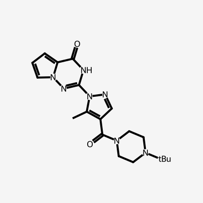 Cc1c(C(=O)N2CCN(C(C)(C)C)CC2)cnn1-c1nn2cccc2c(=O)[nH]1